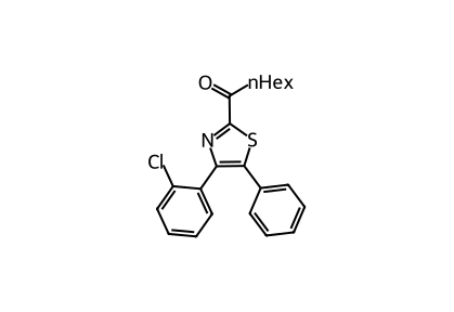 CCCCCCC(=O)c1nc(-c2ccccc2Cl)c(-c2ccccc2)s1